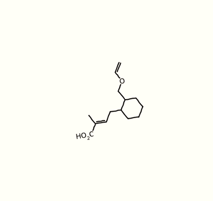 C=COCC1CCCCC1CC=C(C)C(=O)O